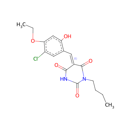 CCCCN1C(=O)NC(=O)/C(=C\c2cc(Cl)c(OCC)cc2O)C1=O